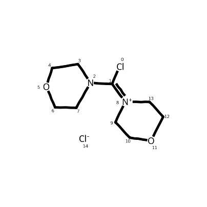 ClC(N1CCOCC1)=[N+]1CCOCC1.[Cl-]